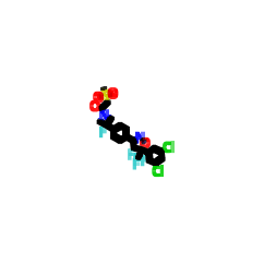 CS(=O)(=O)CC(=O)N1CC(F)(c2ccc(C3=NOC(c4cc(Cl)cc(Cl)c4)(C(F)(F)F)C3)cc2)C1